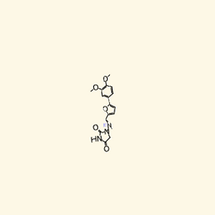 COc1ccc(-c2ccc(/C=N/N3CC(=O)NC3=O)o2)cc1OC